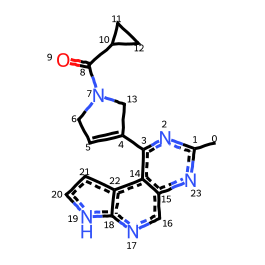 Cc1nc(C2=CCN(C(=O)C3CC3)C2)c2c(cnc3[nH]ccc32)n1